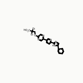 CCC(CC)(COc1cnc(-c2ccc(-c3ncc(-c4ccccc4)[nH]3)nc2)cn1)C(=O)O